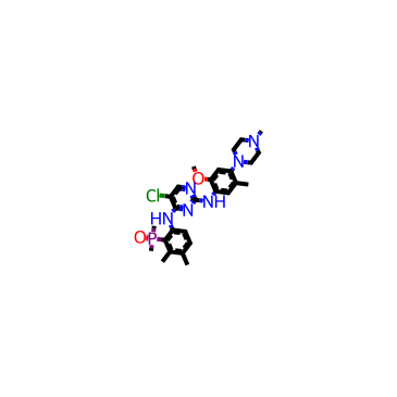 COc1cc(N2CCN(C)CC2)c(C)cc1Nc1ncc(Cl)c(Nc2ccc(C)c(C)c2P(C)(C)=O)n1